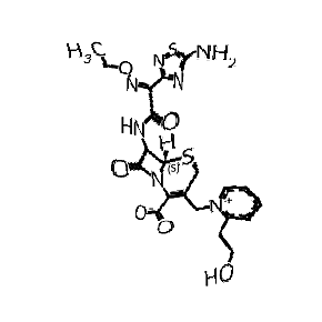 CCON=C(C(=O)NC1C(=O)N2C(C(=O)[O-])=C(C[n+]3ccccc3CCO)CS[C@@H]12)c1nsc(N)n1